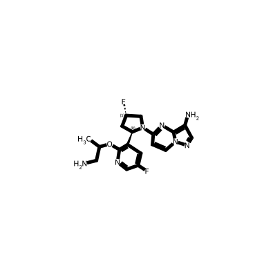 CC(CN)Oc1ncc(F)cc1[C@H]1C[C@H](F)CN1c1ccn2ncc(N)c2n1